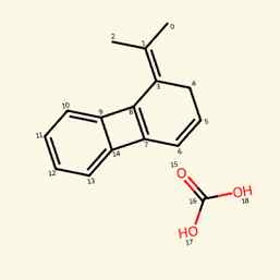 CC(C)=C1CC=CC2=C1c1ccccc12.O=C(O)O